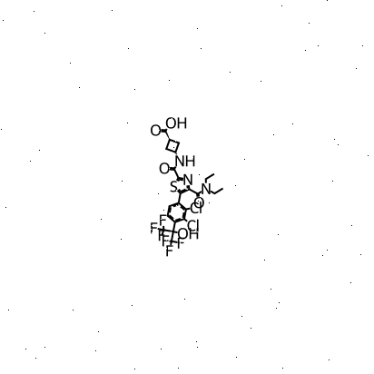 CCN(CC)C(=O)c1nc(C(=O)N[C@H]2C[C@H](C(=O)O)C2)sc1-c1ccc(C(O)(C(F)(F)F)C(F)(F)F)c(Cl)c1Cl